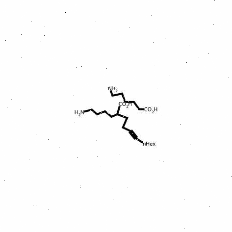 CCCCCCC#CCCC(CCCCN)C(=O)O.NCCCCCC(=O)O